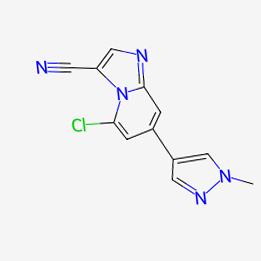 Cn1cc(-c2cc(Cl)n3c(C#N)cnc3c2)cn1